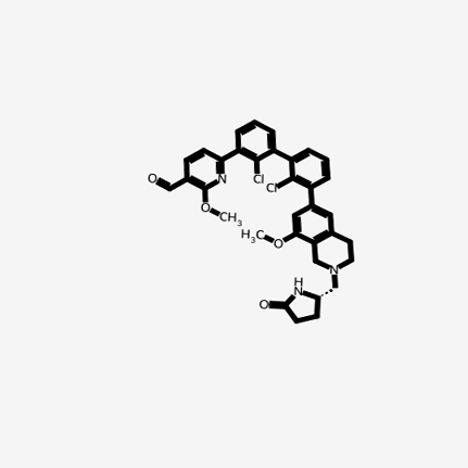 COc1cc(-c2cccc(-c3cccc(-c4ccc(C=O)c(OC)n4)c3Cl)c2Cl)cc2c1CN(C[C@@H]1CCC(=O)N1)CC2